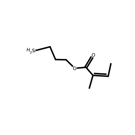 CC=C(C)C(=O)OCCC[SiH3]